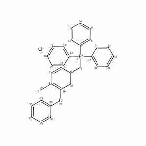 Fc1ccc(C[P+](c2ccccc2)(c2ccccc2)c2ccccc2)cc1Oc1ccccc1.[Cl-]